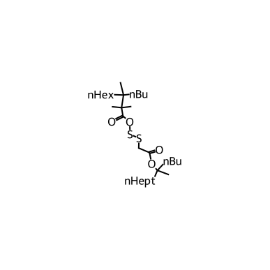 CCCCCCCC(C)(CCCC)OC(=O)CSSOC(=O)C(C)(C)C(C)(CCCC)CCCCCC